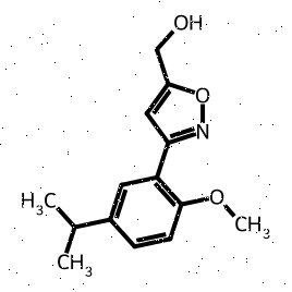 COc1ccc(C(C)C)cc1-c1cc(CO)on1